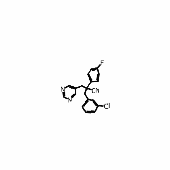 N#CC(Cc1cncnc1)(Cc1cccc(Cl)c1)c1ccc(F)cc1